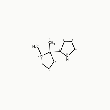 CN1CCCC1(C)C1CCCN1